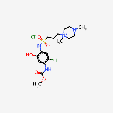 COC(=O)Nc1cc(O)c(NS(=O)(=O)CCC[N+]2(C)CCN(C)CC2)cc1Cl.[Cl-]